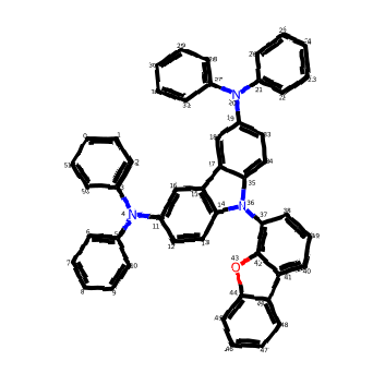 c1ccc(N(c2ccccc2)c2ccc3c(c2)c2cc(N(c4ccccc4)c4ccccc4)ccc2n3-c2cccc3c2oc2ccccc23)cc1